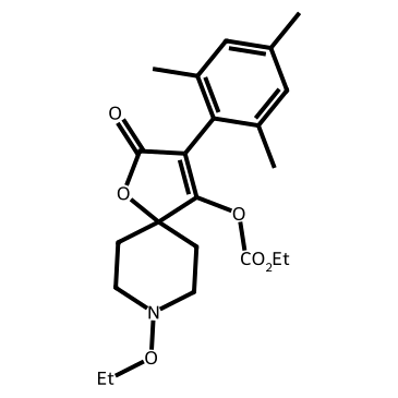 CCOC(=O)OC1=C(c2c(C)cc(C)cc2C)C(=O)OC12CCN(OCC)CC2